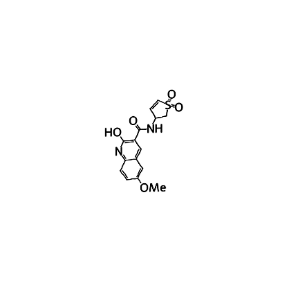 COc1ccc2nc(O)c(C(=O)NC3C=CS(=O)(=O)C3)cc2c1